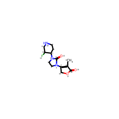 CC1=C(N2CCN(C3CCNCC3F)C2=O)COC1=O